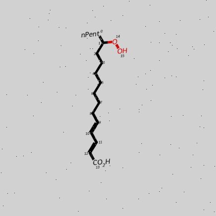 CCCCCC(CCCCCCCC=CC=CC(=O)O)OO